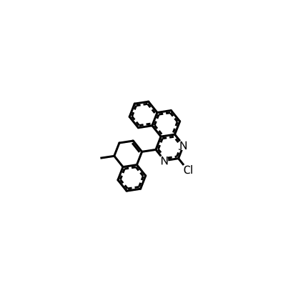 CC1CC=C(c2nc(Cl)nc3ccc4ccccc4c23)c2ccccc21